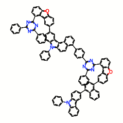 c1ccc(-c2nc(-c3ccccc3)nc(-c3cccc4oc5ccc(-c6ccc7c(c6)c6c8cccc(-c9ccc(-c%10nc(-c%11ccccc%11)nc(-c%11cccc%12oc%13ccc(-c%14ccc(-c%15ccc%16c(c%15)c%15ccccc%15n%16-c%15ccccc%15)c%15ccccc%14%15)cc%13c%11%12)n%10)cc9)c8ccc6n7-c6ccccc6)cc5c34)n2)cc1